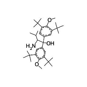 COc1c(C(C)(C)C)cc(C(O)(c2cc(C(C)(C)C)c(OC)c(C(C)(C)C)c2)C(N)C(C)C)cc1C(C)(C)C